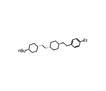 CCCC[C@H]1CC[C@H](CC[C@H]2CC[C@H](CCc3ccc(CC)cc3)CC2)CC1